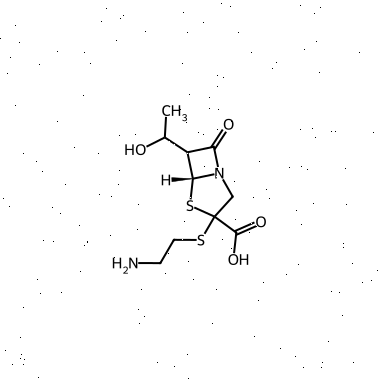 CC(O)C1C(=O)N2CC(SCCN)(C(=O)O)S[C@H]12